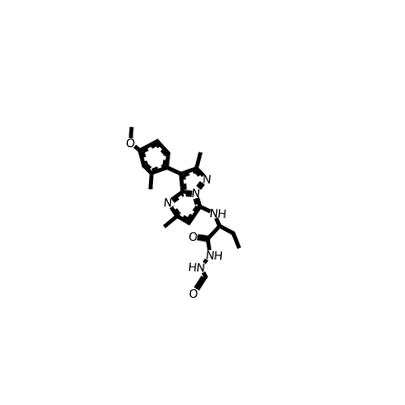 CCC(Nc1cc(C)nc2c(-c3ccc(OC)cc3C)c(C)nn12)C(=O)NNC=O